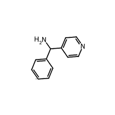 NC(c1cc[c]cc1)c1ccncc1